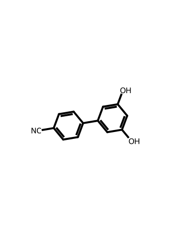 N#Cc1ccc(-c2cc(O)cc(O)c2)cc1